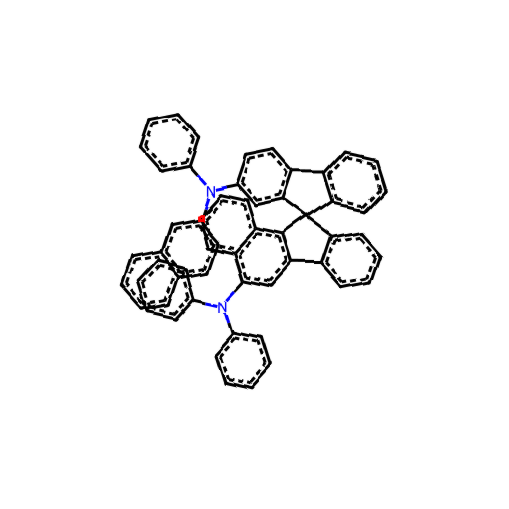 c1ccc(N(c2ccc3c(c2)C2(c4ccccc4-3)c3ccccc3-c3cc(N(c4ccccc4)c4ccccc4)c4ccccc4c32)c2ccc3ccccc3c2)cc1